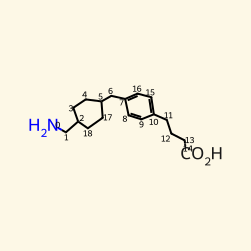 NCC1CCC(Cc2ccc(CCCC(=O)O)cc2)CC1